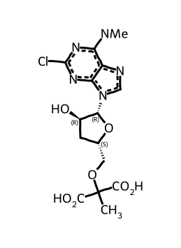 CNc1nc(Cl)nc2c1ncn2[C@@H]1O[C@H](COC(C)(C(=O)O)C(=O)O)C[C@H]1O